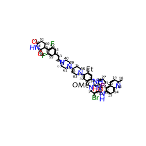 CCc1cc(Nc2ncc(Br)c(Nc3ccc4nc(C)ccc4c3[P]3(O)CC=CC3)n2)c(OC)cc1N1CCC(N2CCN(CCc3cc(F)c(C4CCC(=O)NC4=O)c(F)c3)CC2)CC1